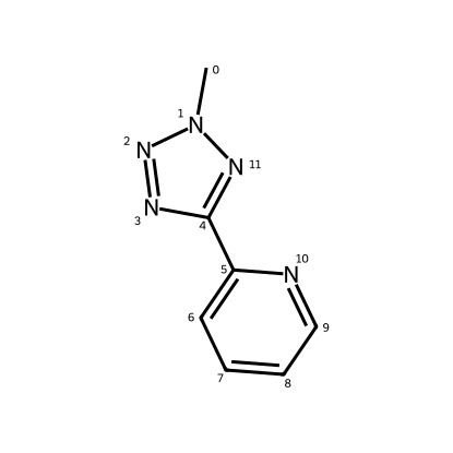 Cn1nnc(-c2ccccn2)n1